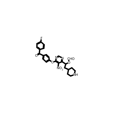 O=COC(CC1CCNCC1)c1ncnc(Oc2ccc(C(=O)c3ccc(F)cc3)cc2)c1[N+](=O)[O-]